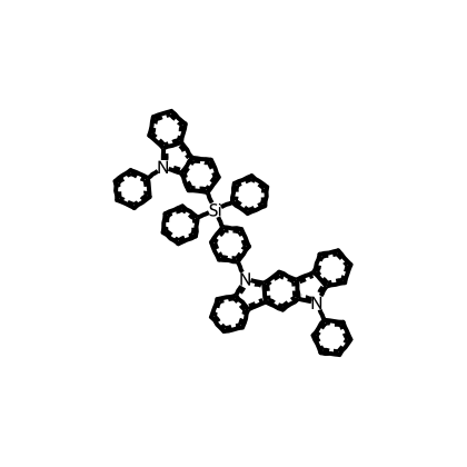 c1ccc(-n2c3ccccc3c3ccc([Si](c4ccccc4)(c4ccccc4)c4ccc(-n5c6ccccc6c6cc7c(cc65)c5ccccc5n7-c5ccccc5)cc4)cc32)cc1